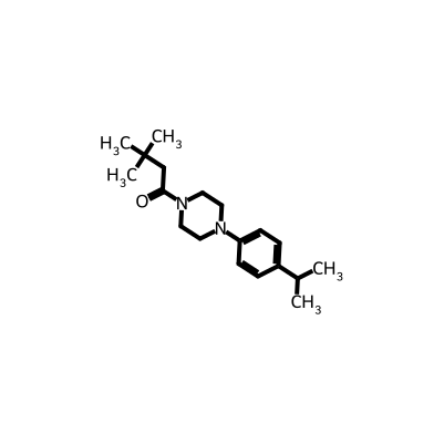 CC(C)c1ccc(N2CCN(C(=O)CC(C)(C)C)CC2)cc1